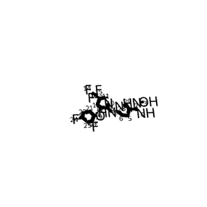 N=C(NO)c1ccc(Nc2ncc(C(F)(F)F)cc2Oc2ccc(F)cc2F)nc1